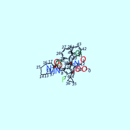 COC(=O)c1cc(F)c(NC(=O)N2C3CCC2CC(OCc2c(-c4c(Cl)cccc4Cl)noc2C2CC2)C3)cc1-c1ccccc1